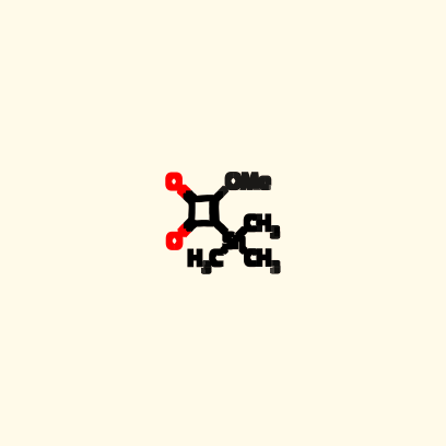 COc1[c]([Sn]([CH3])([CH3])[CH3])c(=O)c1=O